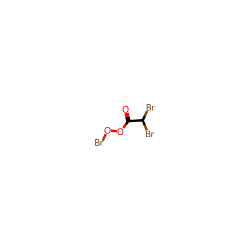 O=C(OOBr)C(Br)Br